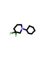 FC1(F)CCCN(C2CCCCC2)C1